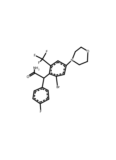 NC(=O)C(c1ccc(F)cc1)c1c(Br)cc(N2CCOCC2)cc1C(F)(F)F